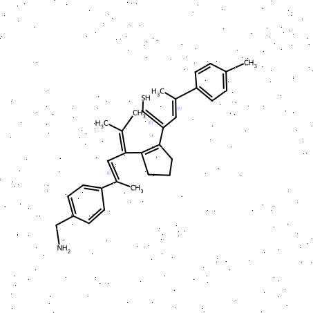 CC(C)=C(/C=C(\C)c1ccc(CN)cc1)C1=C(C(=C/S)/C=C(\C)c2ccc(C)cc2)CCC1